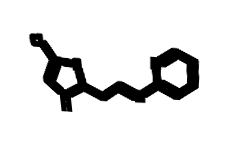 ClC1=CNC(CC=Nc2ccccn2)S1